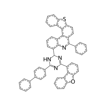 c1ccc(-c2ccc(C3=NC(c4cccc5oc6ccccc6c45)=NC(c4cccc5c4nc(-c4ccccc4)c4ccc6sc7ccccc7c6c45)N3)cc2)cc1